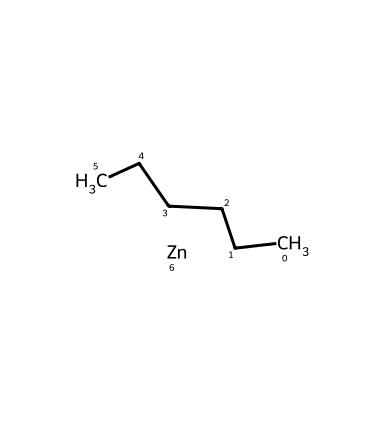 CCCCCC.[Zn]